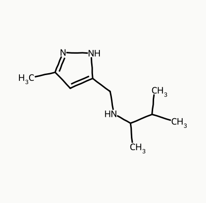 Cc1cc(CNC(C)C(C)C)[nH]n1